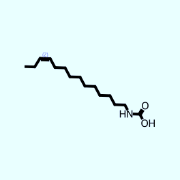 CC/C=C\CCCCCCCCCCNC(=O)O